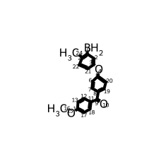 Bc1cc(Oc2ccc(C(=O)c3ccc(OC)cc3)cc2)ccc1C